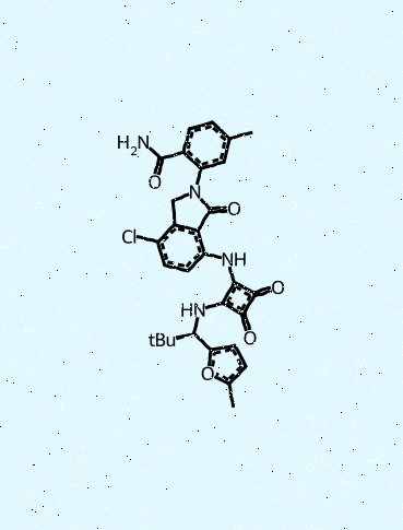 Cc1ccc(C(N)=O)c(N2Cc3c(Cl)ccc(Nc4c(N[C@@H](c5ccc(C)o5)C(C)(C)C)c(=O)c4=O)c3C2=O)c1